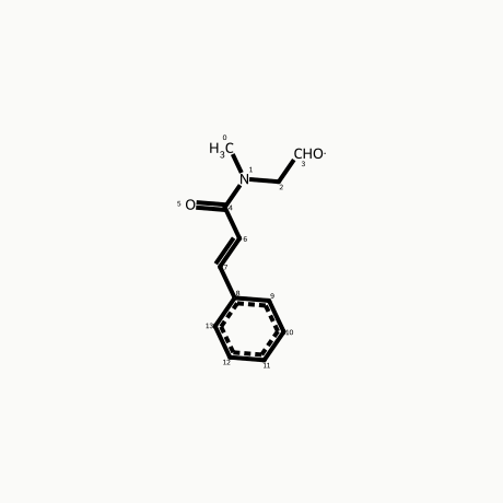 CN(C[C]=O)C(=O)C=Cc1ccccc1